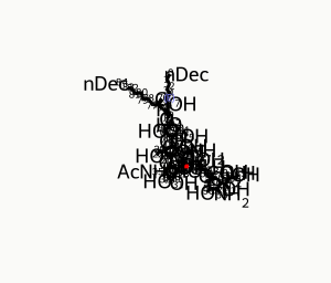 CCCCCCCCCCCCC/C=C/C(O)C(CO[C@@H]1O[C@H](CO)[C@@H](O[C@@H]2O[C@H](CO)[C@H](O[C@@H]3O[C@H](CO)[C@H](O)[C@H](O)[C@H]3NC(C)=O)[C@H](O[C@]3(C(=O)O)C[C@@H](O)[C@H](N)[C@@H](C(O)C(O)COC4(C(=O)O)CC(O)C(N)C(C(O)C(O)CO)O4)O3)[C@H]2O)[C@H](O)[C@H]1O)NC(=O)CCCCCCCCCCCCCCCCC